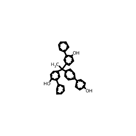 CC(c1ccc(-c2ccc(O)cc2)cc1)(c1ccc(O)c(-c2ccccc2)c1)c1ccc(O)c(-c2ccccc2)c1